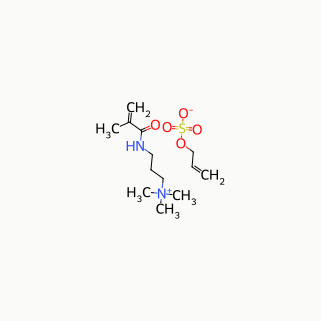 C=C(C)C(=O)NCCC[N+](C)(C)C.C=CCOS(=O)(=O)[O-]